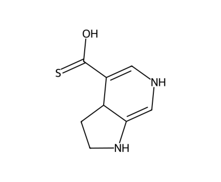 OC(=S)C1=CNC=C2NCCC21